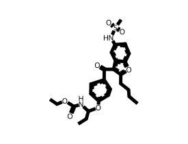 CCCCc1oc2ccc(NS(C)(=O)=O)cc2c1C(=O)c1ccc(OC(CC)NC(=O)OCC)cc1